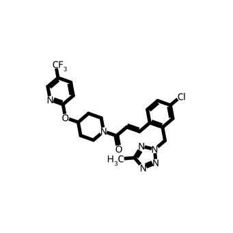 Cc1nnn(Cc2cc(Cl)ccc2C=CC(=O)N2CCC(Oc3ccc(C(F)(F)F)cn3)CC2)n1